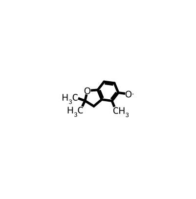 Cc1c([O])ccc2c1CC(C)(C)O2